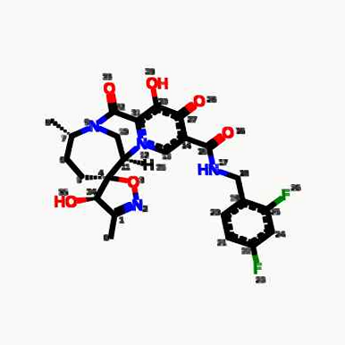 CC1=NO[C@@]2(CC[C@H](C)N3C[C@H]2n2cc(C(=O)NCc4ccc(F)cc4F)c(=O)c(O)c2C3=O)[C@@H]1O